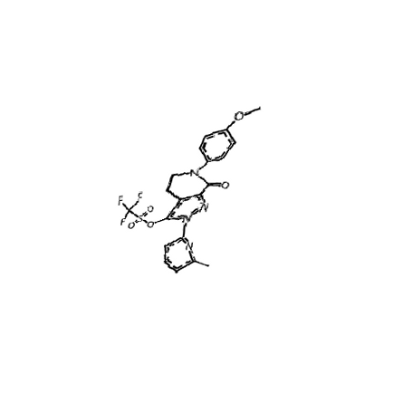 COc1ccc(N2CCc3c(nn(-c4cccc(C)n4)c3OS(=O)(=O)C(F)(F)F)C2=O)cc1